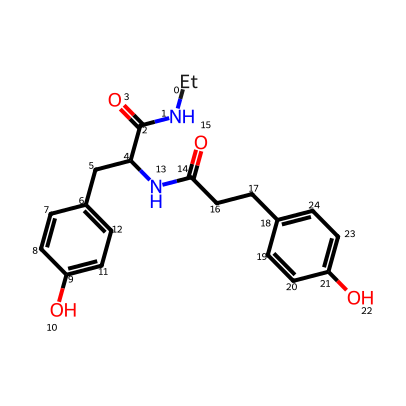 CCNC(=O)C(Cc1ccc(O)cc1)NC(=O)CCc1ccc(O)cc1